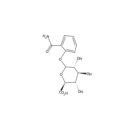 NC(=O)c1ccccc1OC1O[C@H](C(=O)O)[C@@H](O)[C@H](O)[C@H]1O